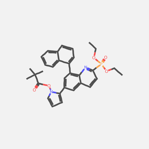 CCOP(=O)(OCC)c1ccc2cc(-c3cccn3OC(=O)C(C)(C)C)cc(-c3cccc4ccccc34)c2n1